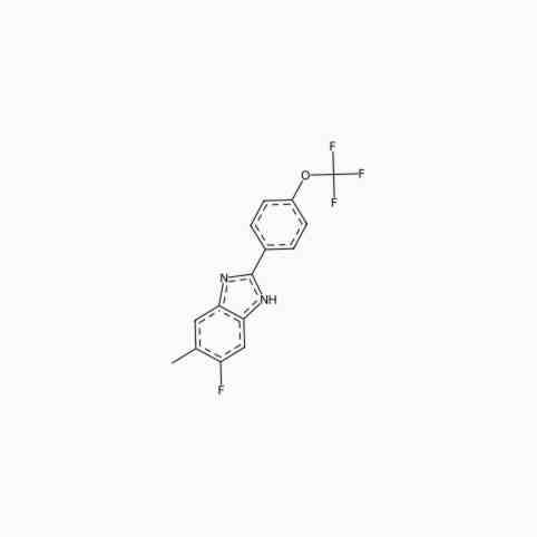 Cc1cc2nc(-c3ccc(OC(F)(F)F)cc3)[nH]c2cc1F